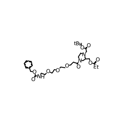 CCC(=O)OCC1CN(C(=O)CCOCCOCCOCCNC(=O)OCc2ccccc2)CCN1CC(=O)OC(C)(C)C